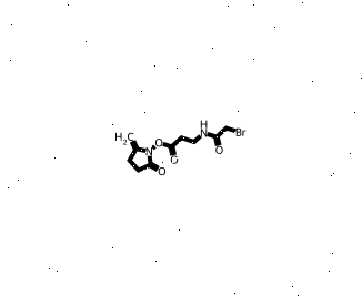 C=C1CCC(=O)N1OC(=O)CCNC(=O)CBr